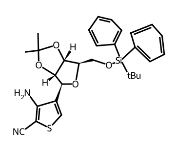 CC1(C)O[C@@H]2[C@H](O1)[C@@H](CO[Si](c1ccccc1)(c1ccccc1)C(C)(C)C)O[C@H]2c1csc(C#N)c1N